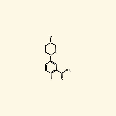 CCN1CCN(c2ccc(C)c(C(N)=O)c2)CC1